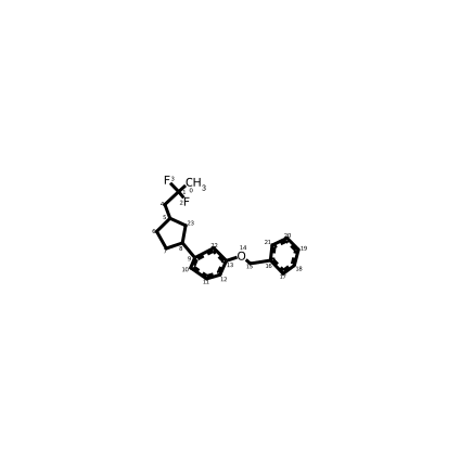 CC(F)(F)CC1CCC(c2cccc(OCc3ccccc3)c2)C1